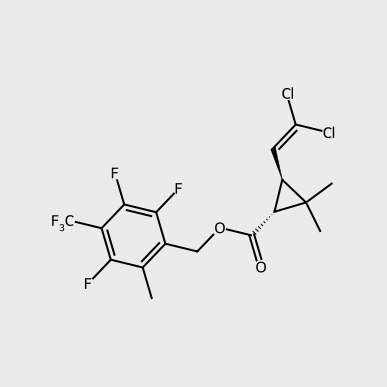 Cc1c(F)c(C(F)(F)F)c(F)c(F)c1COC(=O)[C@@H]1[C@@H](C=C(Cl)Cl)C1(C)C